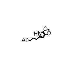 CC(=O)CCCc1cc2c([nH]1)OCO2